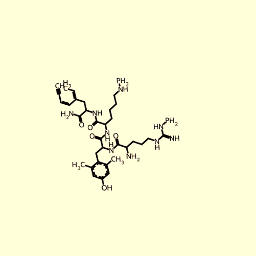 C#C/C=C\C(=C/C)CC(NC(=O)C(CCCCNP)NC(=O)C(Cc1c(C)cc(O)cc1C)NC(=O)C(N)CCCNC(=N)NP)C(N)=O